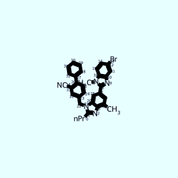 CCCc1nc2c(C)cc(-c3nc4cc(Br)ccc4n3C)cc2n1Cc1ccc(-c2ccccc2)c(C#N)c1